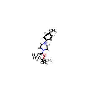 C=C(OC(C)(C)C)N1CCN(c2ccc(C)cc2)CC1